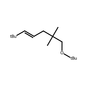 CC(C)(C)/C=C/CC(C)(C)COC(C)(C)C